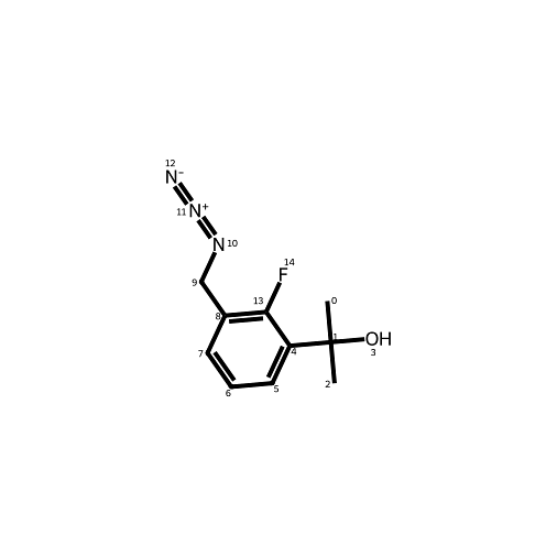 CC(C)(O)c1cccc(CN=[N+]=[N-])c1F